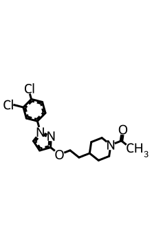 CC(=O)N1CCC(CCOc2ccn(-c3ccc(Cl)c(Cl)c3)n2)CC1